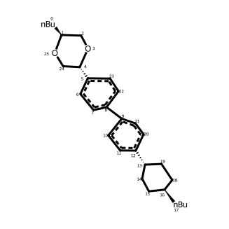 CCCC[C@H]1CO[C@H](c2ccc(-c3ccc([C@H]4CC[C@H](CCCC)CC4)cc3)cc2)CO1